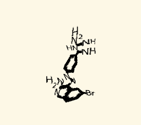 N=C(N)NC(=N)c1ccc(/N=N/c2c(N)ncc3ccc(Br)cc23)cc1